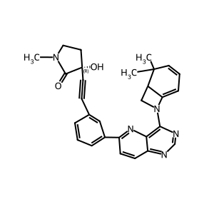 CN1CC[C@@](O)(C#Cc2cccc(-c3ccc4ncnc(N5CC6C5=CC=CC6(C)C)c4n3)c2)C1=O